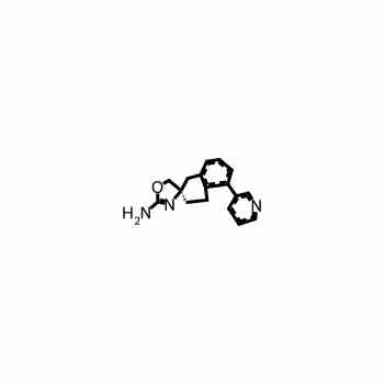 NC1=N[C@@]2(CCc3c(cccc3-c3cccnc3)C2)CO1